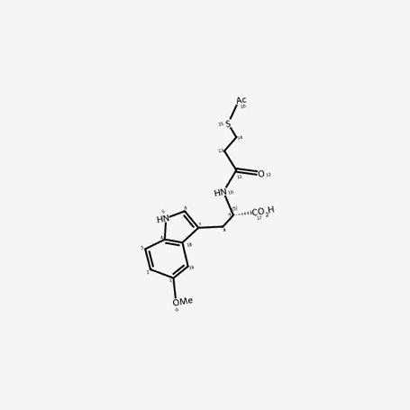 COc1ccc2[nH]cc(C[C@H](NC(=O)CCSC(C)=O)C(=O)O)c2c1